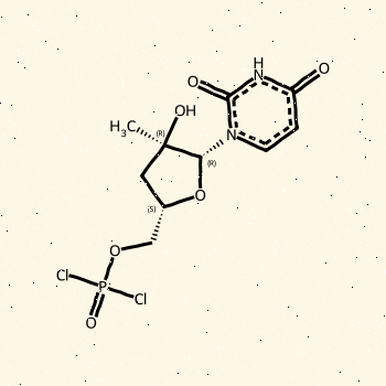 C[C@@]1(O)C[C@@H](COP(=O)(Cl)Cl)O[C@H]1n1ccc(=O)[nH]c1=O